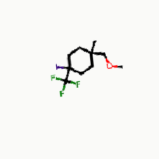 COCC1(C)CCC(I)(C(F)(F)F)CC1